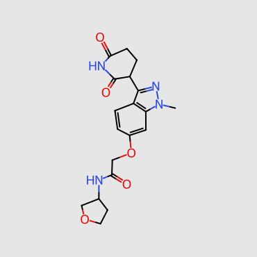 Cn1nc(C2CCC(=O)NC2=O)c2ccc(OCC(=O)NC3CCOC3)cc21